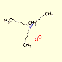 CCCCCCCCC[N+](C)(CCCCCCCCC)CCCCCCCCC.O=C[O-]